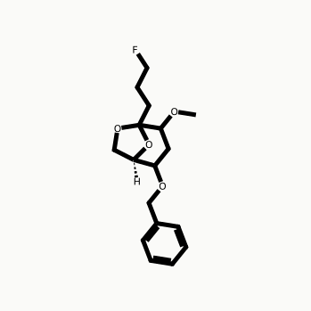 COC1CC(OCc2ccccc2)[C@H]2COC1(CCCF)O2